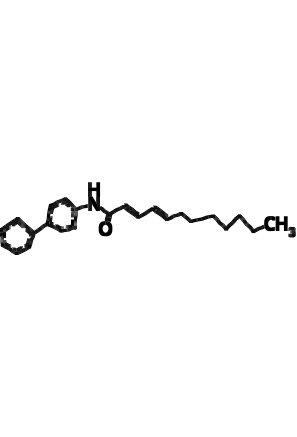 CCCCCCC/C=C/C=C/C(=O)Nc1ccc(-c2ccccc2)cc1